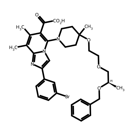 Cc1c(C(=O)C(=O)O)c(N2CCC(C)(OCCOC[C@@H](C)OCc3ccccc3)CC2)n2cc(-c3cccc(Br)c3)nc2c1C